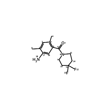 Cc1cc(C)c(C(=O)N2CCC(F)(F)CC2)cc1N